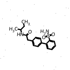 CCC(C)NC(=O)Cc1ccc(-c2ccccc2S(N)(=O)=O)cc1